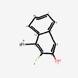 CC(C)c1c(F)c(O)cc2ccccc12